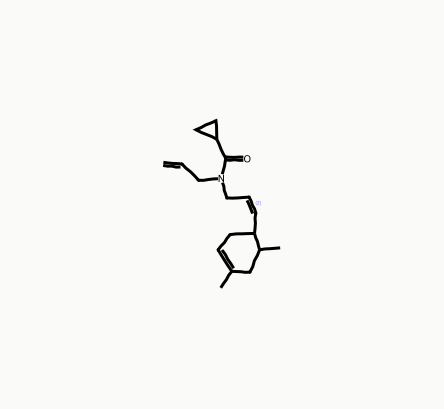 C=CCN(C/C=C\C1CC=C(C)CC1C)C(=O)C1CC1